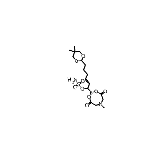 CN1CC(=O)OB(C(C=CCCCC2OCC(C)(C)CO2)OS(N)(=O)=O)OC(=O)C1